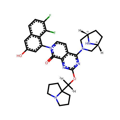 [2H]C([2H])(Oc1nc(N2C[C@H]3CC[C@@H](C2)N3)c2ccn(-c3cc(O)cc4ccc(F)c(F)c34)c(=O)c2n1)C12CCCN1CCC2